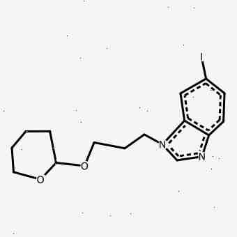 Ic1ccc2ncn(CCCOC3CCCCO3)c2c1